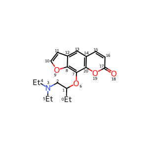 CCC(CN(CC)CC)Oc1c2occc2cc2ccc(=O)oc12